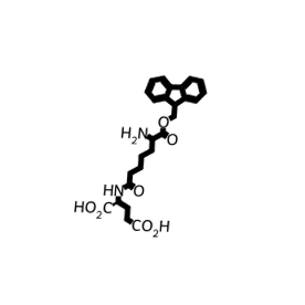 NC(CCCCC(=O)N[C@@H](CCC(=O)O)C(=O)O)C(=O)OCC1c2ccccc2-c2ccccc21